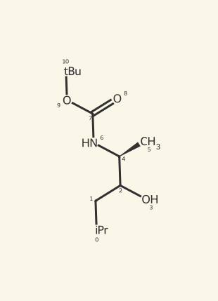 CC(C)CC(O)[C@H](C)NC(=O)OC(C)(C)C